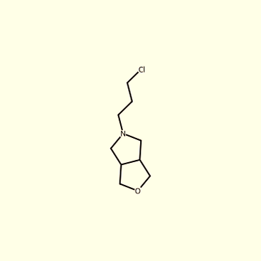 ClCCCN1CC2COCC2C1